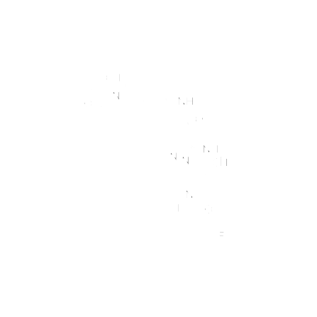 Cc1cc(Oc2c(F)cccc2F)ncc1-n1ncc(C(=O)c2cc3c4c(ccc3[nH]2)CN(C2(C)COC2)CC4)c1N